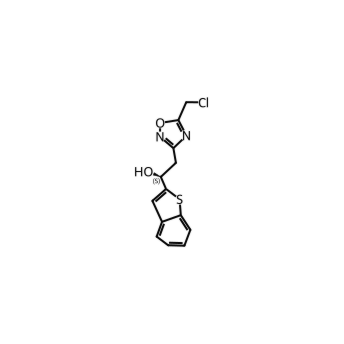 O[C@@H](Cc1noc(CCl)n1)c1cc2ccccc2s1